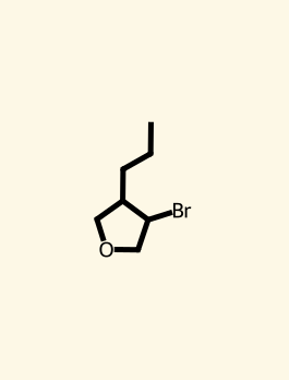 CCCC1COCC1Br